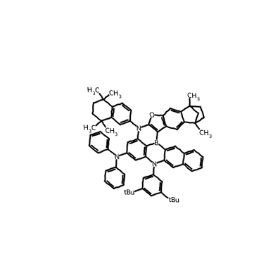 CC(C)(C)c1cc(N2c3cc4ccccc4cc3B3c4c2cc(N(c2ccccc2)c2ccccc2)cc4N(c2ccc4c(c2)C(C)(C)CCC4(C)C)c2oc4cc5c(cc4c23)C2(C)CCC5(C)C2)cc(C(C)(C)C)c1